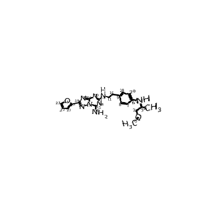 COCC(C)Nc1ccc(CCNc2nc(N)n3nc(-c4ccco4)nc3n2)cc1